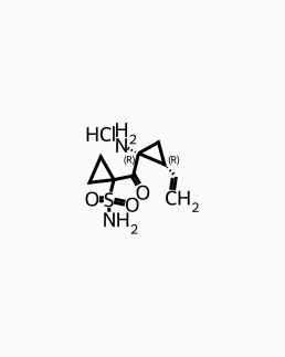 C=C[C@H]1C[C@]1(N)C(=O)C1(S(N)(=O)=O)CC1.Cl